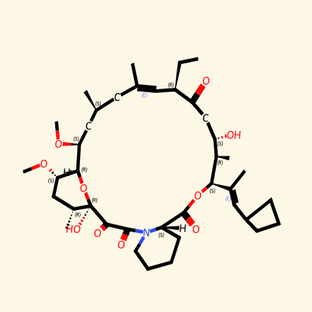 CC[C@@H]1/C=C(\C)C[C@H](C)C[C@H](OC)[C@H]2O[C@@](O)(C(=O)C(=O)N3CCCC[C@H]3C(=O)O[C@H](/C(C)=C/C3CCC3)[C@H](C)[C@@H](O)CC1=O)[C@H](C)C[C@@H]2OC